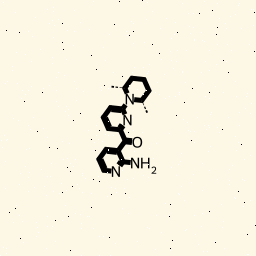 C[C@@H]1CCC[C@H](C)N1c1cccc(C(=O)c2cccnc2N)n1